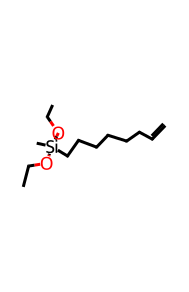 C=CCCCCCC[Si](C)(OCC)OCC